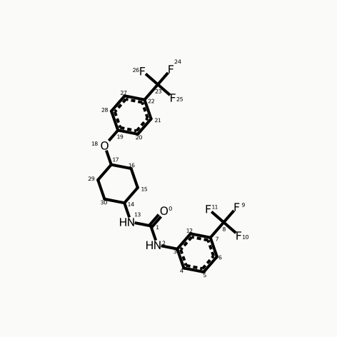 O=C(Nc1cccc(C(F)(F)F)c1)NC1CCC(Oc2ccc(C(F)(F)F)cc2)CC1